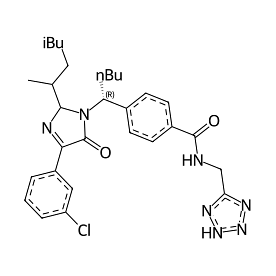 CCCC[C@H](c1ccc(C(=O)NCc2nn[nH]n2)cc1)N1C(=O)C(c2cccc(Cl)c2)=NC1C(C)CC(C)CC